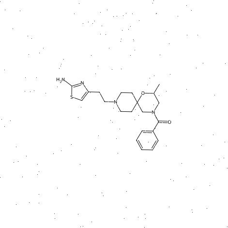 CC1CN(C(=O)c2ccccc2)CC2(CCN(CCc3csc(N)n3)CC2)O1